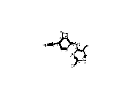 Cc1cnc(Cl)nc1Nc1ccc(C#N)c2c1CC2